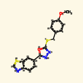 COc1ccc(CSc2nnc(-c3ccc4ncsc4c3)o2)cc1